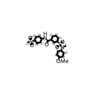 COc1ccc(N(C)S(=O)(=O)c2cccc(C(=O)Nc3ccc(S(C)(=O)=O)cc3)c2)cc1